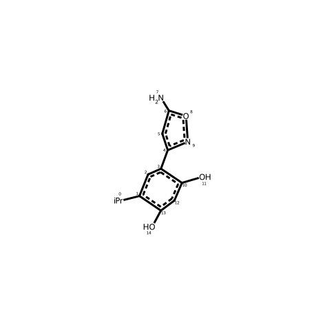 CC(C)c1cc(-c2cc(N)on2)c(O)cc1O